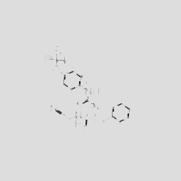 N#CCNC(=O)C(Cc1ccccc1)NC(=S)Nc1ccc(OC(F)(F)F)cc1